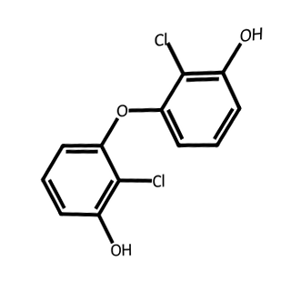 Oc1cccc(Oc2cccc(O)c2Cl)c1Cl